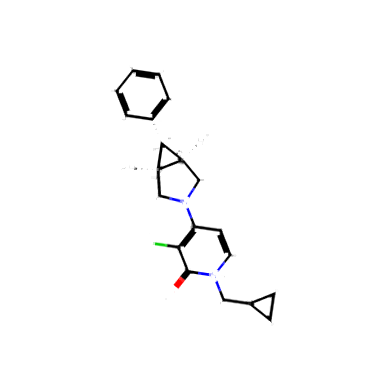 O=c1c(Cl)c(N2C[C@@H]3[C@H](C2)[C@H]3c2ccccc2)ccn1CC1CC1